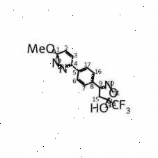 COc1ccc(-c2ccc(C3=NOC(O)(C(F)(F)F)C3)cc2)nn1